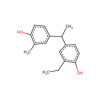 CCc1cc(C(C)c2ccc(O)c(C)c2)ccc1O